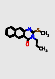 CCCn1c(SC)nc2cc3ccccc3cc2c1=O